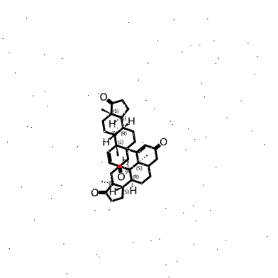 C[C@]12C(C34CC[C@@H]5[C@@H](CC[C@]6(C)C(=O)CC[C@@H]56)[C@@]3(C)C=CC(=O)C4)=CC(=O)CC1CC[C@@H]1[C@H]2CC[C@]2(C)C(=O)CC[C@@H]12